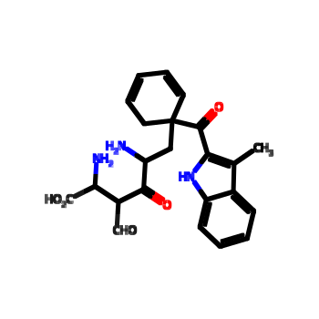 Cc1c(C(=O)C2(CC(N)C(=O)C(C=O)C(N)C(=O)O)C=CC=CC2)[nH]c2ccccc12